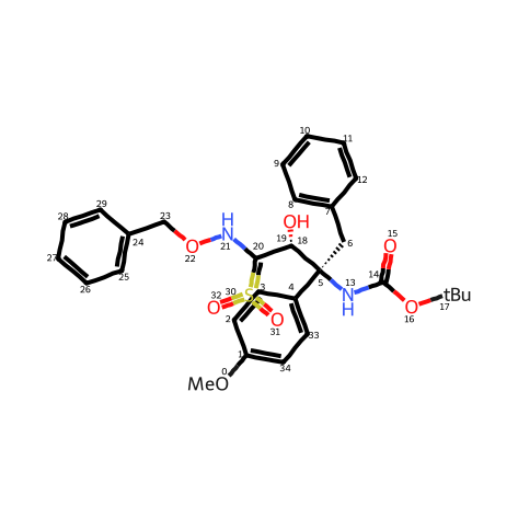 COc1ccc([C@](Cc2ccccc2)(NC(=O)OC(C)(C)C)[C@@H](O)C(NOCc2ccccc2)=S(=O)=O)cc1